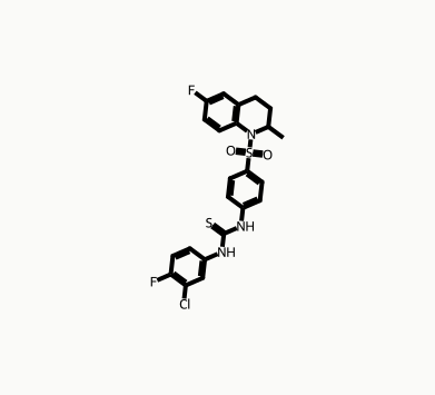 CC1CCc2cc(F)ccc2N1S(=O)(=O)c1ccc(NC(=S)Nc2ccc(F)c(Cl)c2)cc1